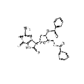 Nc1nc2c([nH]c(=O)n2[C@H]2CC(OC(=O)c3ccccc3)[C@@H](COC(=O)c3ccccc3)O2)c(=O)[nH]1